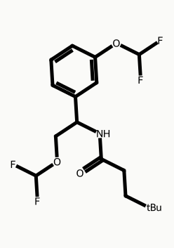 CC(C)(C)CCC(=O)NC(COC(F)F)c1cccc(OC(F)F)c1